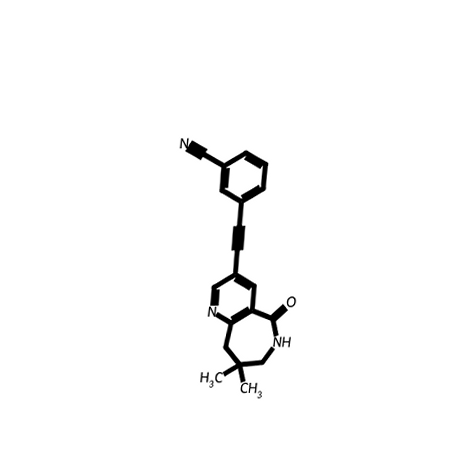 CC1(C)CNC(=O)c2cc(C#Cc3cccc(C#N)c3)cnc2C1